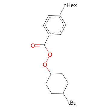 CCCCCCc1ccc(C(=O)OO[C]2CCC(C(C)(C)C)CC2)cc1